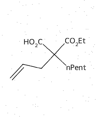 C=CCC(CCCCC)(C(=O)O)C(=O)OCC